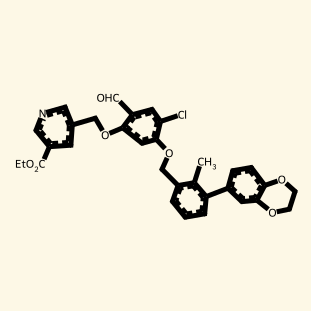 CCOC(=O)c1cncc(COc2cc(OCc3cccc(-c4ccc5c(c4)OCCO5)c3C)c(Cl)cc2C=O)c1